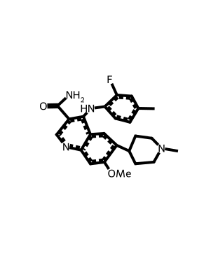 COc1cc2ncc(C(N)=O)c(Nc3ccc(C)cc3F)c2cc1C1CCN(C)CC1